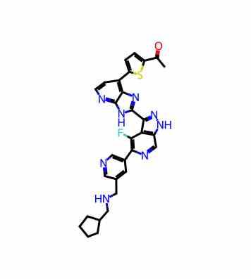 CC(=O)c1ccc(-c2ccnc3[nH]c(-c4n[nH]c5cnc(-c6cncc(CNCC7CCCC7)c6)c(F)c45)nc23)s1